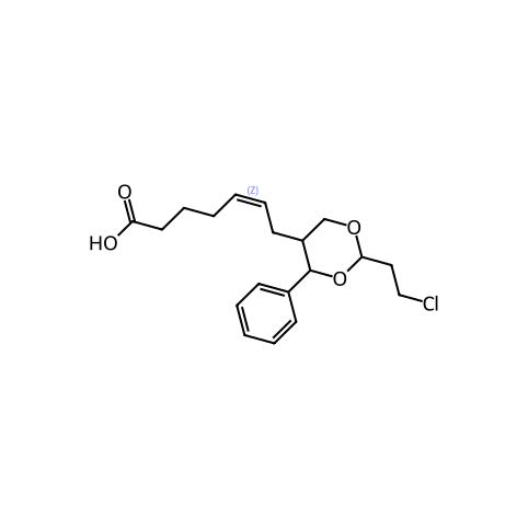 O=C(O)CCC/C=C\CC1COC(CCCl)OC1c1ccccc1